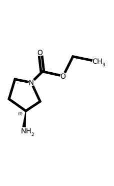 CCOC(=O)N1CC[C@H](N)C1